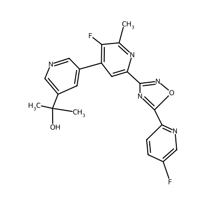 Cc1nc(-c2noc(-c3ccc(F)cn3)n2)cc(-c2cncc(C(C)(C)O)c2)c1F